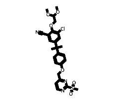 COC(COc1c(Cl)cc(C(C)(C)c2ccc(OCc3ccnc(S(C)(=O)=O)n3)cc2)cc1C#N)OC